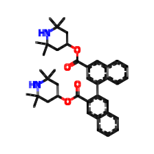 CC1(C)CC(OC(=O)c2cc(-c3cc4ccccc4cc3C(=O)OC3CC(C)(C)NC(C)(C)C3)c3ccccc3c2)CC(C)(C)N1